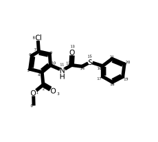 COC(=O)c1ccc(Cl)cc1NC(=O)CSc1ccccc1